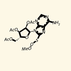 COOSc1nc2c(N)ncnc2n1[C@@H]1O[C@H](COC(C)=O)[C@@H](OC(C)=O)[C@H]1OC(C)=O